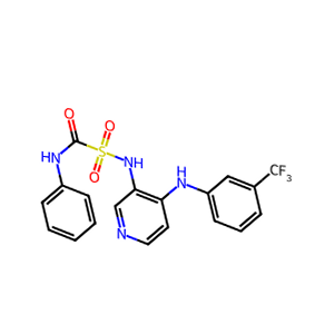 O=C(Nc1ccccc1)S(=O)(=O)Nc1cnccc1Nc1cccc(C(F)(F)F)c1